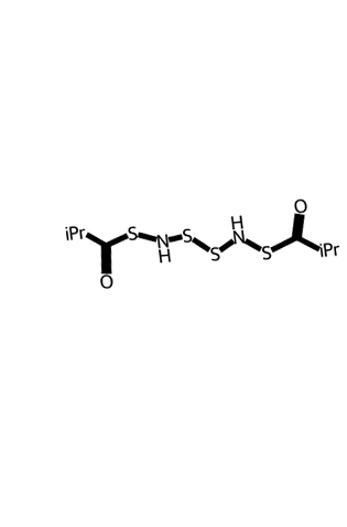 CC(C)C(=O)SNSSNSC(=O)C(C)C